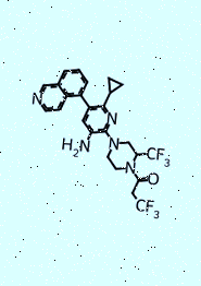 Nc1cc(-c2cccc3cnccc23)c(C2CC2)nc1N1CCN(C(=O)CC(F)(F)F)C(C(F)(F)F)C1